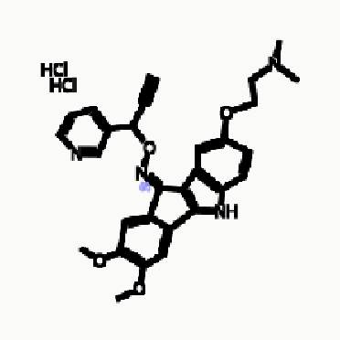 C#CC(O/N=C1/c2cc(OC)c(OC)cc2-c2[nH]c3ccc(OCCN(C)C)cc3c21)c1cccnc1.Cl.Cl